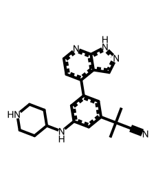 CC(C)(C#N)c1cc(NC2CCNCC2)cc(-c2ccnc3[nH]ncc23)c1